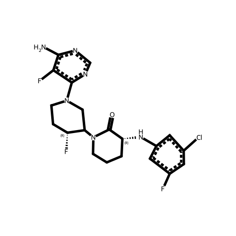 Nc1ncnc(N2CC[C@@H](F)C(N3CCC[C@@H](Nc4cc(F)cc(Cl)c4)C3=O)C2)c1F